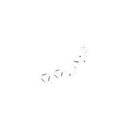 Cc1nc(N(C)C(=O)Cc2ccc(-c3cc(F)ccc3F)cc2)sc1S(=O)(=O)N[Si](C)(C)C(C)(C)C